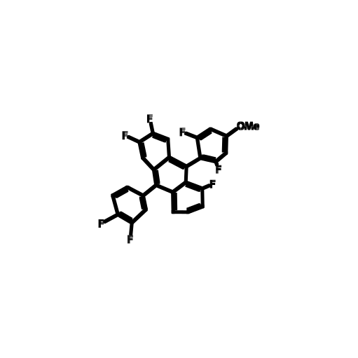 COc1cc(F)c(-c2c3cc(F)c(F)cc3c(-c3ccc(F)c(F)c3)c3cccc(F)c23)c(F)c1